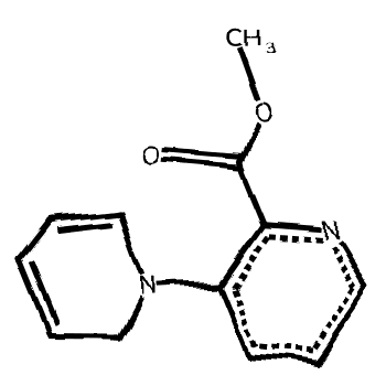 COC(=O)c1ncccc1N1C=CC=CC1